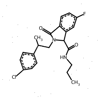 CCCNC(=O)C1c2cc(F)ccc2C(=O)N1CC(C)c1ccc(Cl)cc1